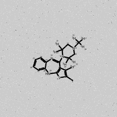 [2H]c1c(C)sc2c1C(N1C([2H])([2H])CN(C([2H])([2H])[2H])CC1([2H])[2H])=Nc1ccccc1N2